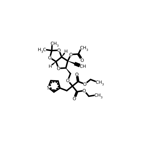 C#C[C@@]1(OC(C)=O)[C@@H](COC(Cc2ccsc2)(C(=O)OCC)C(=O)OCC)O[C@@H]2OC(C)(C)O[C@@H]21